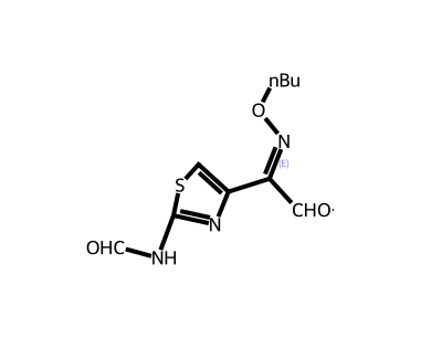 CCCCO/N=C(/[C]=O)c1csc(NC=O)n1